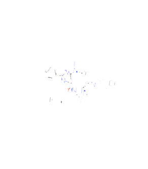 CCOC(=O)N1CCN(C(=O)C(CCC(=O)O)NC(=O)c2cc(NC(C)C)nc(-c3ccccc3)n2)CC1